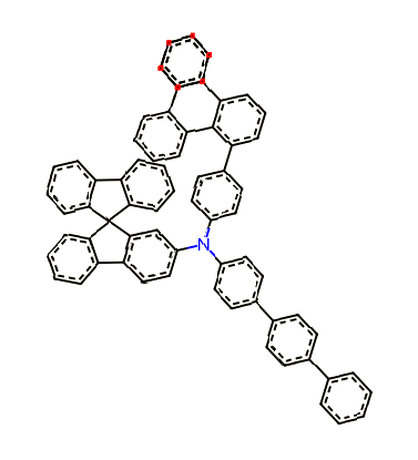 c1ccc(-c2ccc(-c3ccc(N(c4ccc(-c5cccc(-c6ccccc6)c5-c5ccccc5-c5ccccc5)cc4)c4ccc5c(c4)C4(c6ccccc6-c6ccccc64)c4ccccc4-5)cc3)cc2)cc1